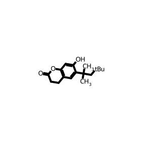 CC(C)(C)CC(C)(C)c1cc2c(cc1O)OC(=O)CC2